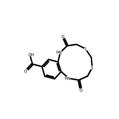 O=C1CSCSCC(=O)Nc2cc(C(=O)O)ccc2N1